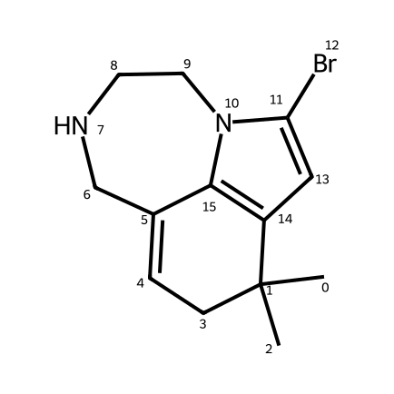 CC1(C)CC=C2CNCCn3c(Br)cc1c32